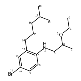 CCOC(C)CNc1ccc(Br)cc1CCCC(C)C